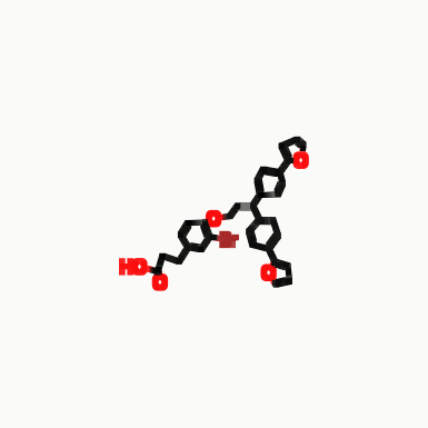 O=C(O)CCc1ccc(OCC=C(c2ccc(-c3ccco3)cc2)c2ccc(-c3ccco3)cc2)c(Br)c1